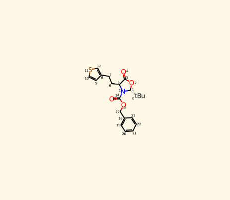 CC(C)(C)[C@H]1OC(=O)[C@H](CCc2ccsc2)N1C(=O)OCc1ccccc1